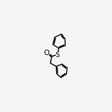 O=C(Cc1ccccc1)Sc1ccccc1